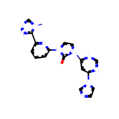 CC(C)n1cnnc1-c1cccc(-n2ccn(-c3cc(-n4ccnc4)ncn3)c2=O)n1